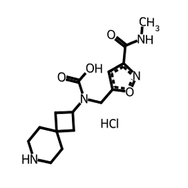 CNC(=O)c1cc(CN(C(=O)O)C2CC3(CCNCC3)C2)on1.Cl